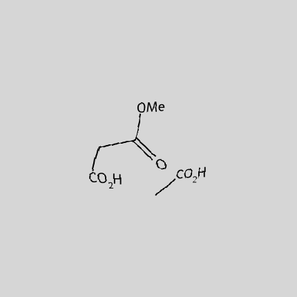 CC(=O)O.COC(=O)CC(=O)O